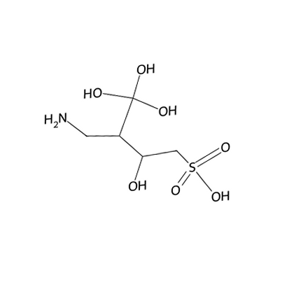 NCC(C(O)CS(=O)(=O)O)C(O)(O)O